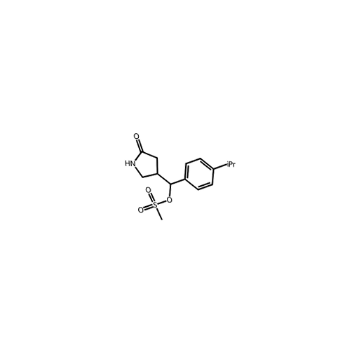 CC(C)c1ccc(C(OS(C)(=O)=O)C2CNC(=O)C2)cc1